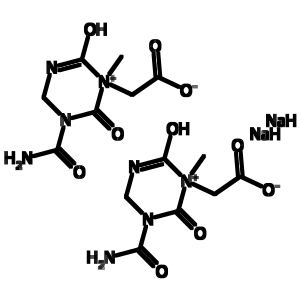 C[N+]1(CC(=O)[O-])C(=O)N(C(N)=O)CN=C1O.C[N+]1(CC(=O)[O-])C(=O)N(C(N)=O)CN=C1O.[NaH].[NaH]